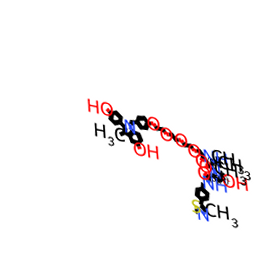 Cc1ncsc1-c1ccc(CNC(=O)[C@@H]2C[C@@H](O)CN2C(=O)[C@@H](NC(=O)COCCOCCOCCOc2ccc(Cn3c(-c4ccc(O)cc4)c(C)c4cc(O)ccc43)cc2)C(C)(C)C)cc1